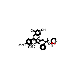 COc1ccc([C@H](Cc2c(Cl)c[n+](O)cc2Cl)c2oc(CN(C(=O)O[C@H]3CN4CCC3CC4)c3ccccc3)nc2C(=O)[O-])cc1OC